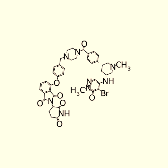 CN1C[C@H](Nc2cnn(C)c(=O)c2Br)C[C@H](c2ccc(C(=O)N3CCN(Cc4ccc(Oc5cccc6c5C(=O)N(C5CCC(=O)NC5=O)C6=O)cc4)CC3)cc2)C1